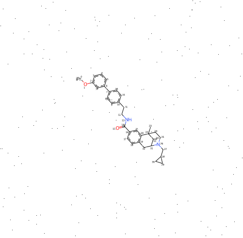 CC(C)Oc1cccc(-c2ccc(CCNC(=O)c3ccc4c(c3)C3(C)CCN(CC5CC5)C(C4)C3C)cc2)c1